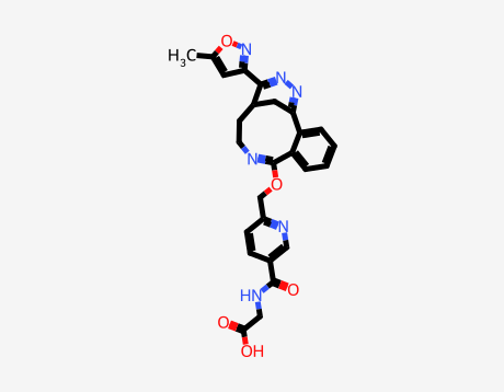 Cc1cc(C2=NN=C3CC2CC/N=C(/OCc2ccc(C(=O)NCC(=O)O)cn2)c2ccccc23)no1